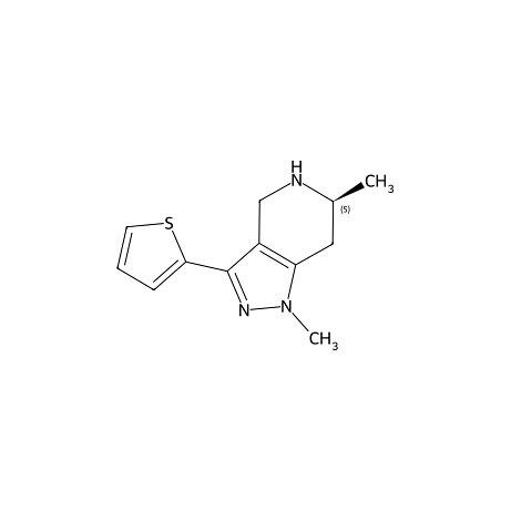 C[C@H]1Cc2c(c(-c3cccs3)nn2C)CN1